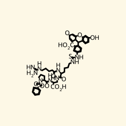 N=C(N)NCCCCC(=O)NC(CCCCNC(=S)Nc1ccc(C2c3ccc(O)cc3OC3=CC(=O)C=CC32)c(C(=O)O)c1)C(=O)NCC(NC(=O)C1CCCN1S(=O)(=O)c1ccccc1)C(=O)O